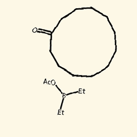 CCB(CC)OC(C)=O.O=C1CCCCCCCCCCC1